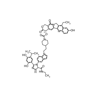 CCNC(=O)C1NN=C(c2cc(C(C)C)c(O)cc2O)N1c1ccc2c(ccn2CCC2CCN(C(=O)O[C@@H]3C(=O)OCc4c3cc3n(c4=O)Cc4c-3nc3ccc(O)cc3c4CC)CC2)c1